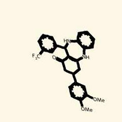 COc1ccc(C2CC(=O)C3=C(C2)Nc2ccccc2NC3c2cccc(C(F)(F)F)c2)cc1OC